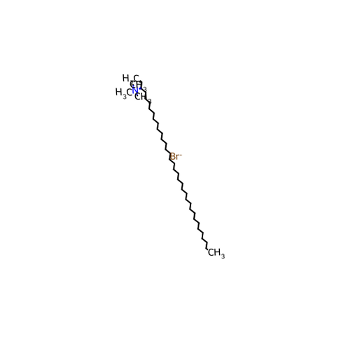 C=CC(CCCCCCCCCCCCCCCCCCCCCCCCCCCCCCCCC)[N+](C)(C)C.[Br-]